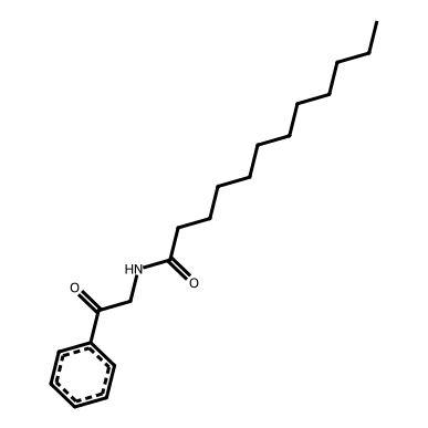 CCCCCCCCCCCC(=O)NCC(=O)c1ccccc1